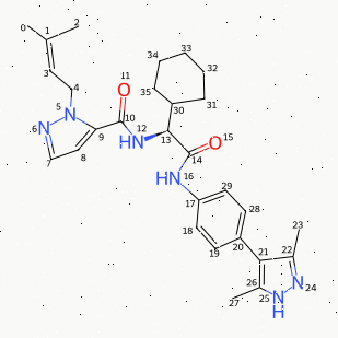 CC(C)=CCn1nccc1C(=O)N[C@H](C(=O)Nc1ccc(-c2c(C)n[nH]c2C)cc1)C1CCCCC1